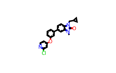 Cn1c(=O)n(CC2CC2)c2ccc(-c3cccc(Oc4ccnc(Cl)c4)c3)cc21